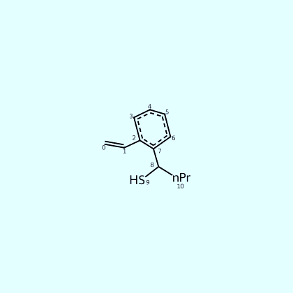 C=Cc1ccccc1C(S)CCC